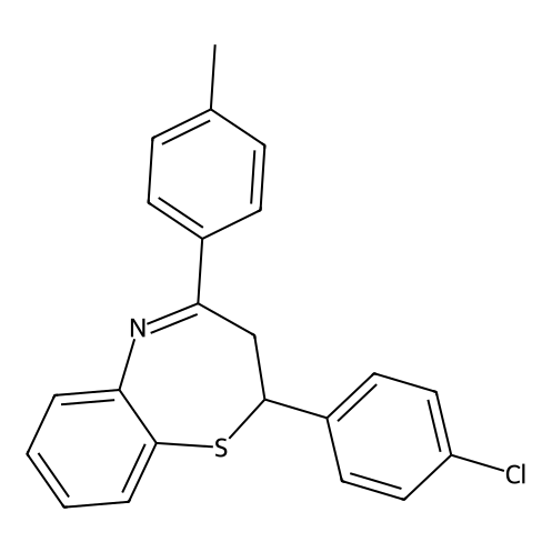 Cc1ccc(C2=Nc3ccccc3SC(c3ccc(Cl)cc3)C2)cc1